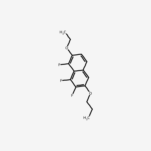 CCCOc1cc2ccc(OCC)c(F)c2c(F)c1F